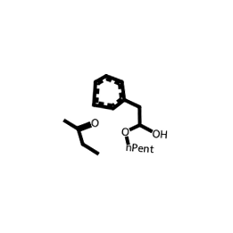 CCC(C)=O.CCCCCOC(O)Cc1ccccc1